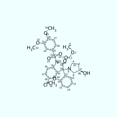 COC(=O)[C@@H]1C[C@@H](O)CN1C1(c2ccccc2OC)C(=O)N(S(=O)(=O)c2ccc(OC)c(OC)c2)c2ccc(Cl)cc21